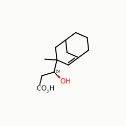 CC1([C@@H](O)CC(=O)O)C=C2CCCC(C2)C1